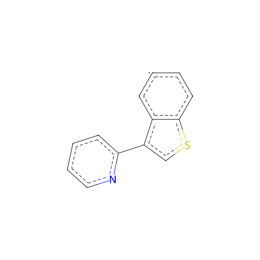 [c]1ccc2scc(-c3ccccn3)c2c1